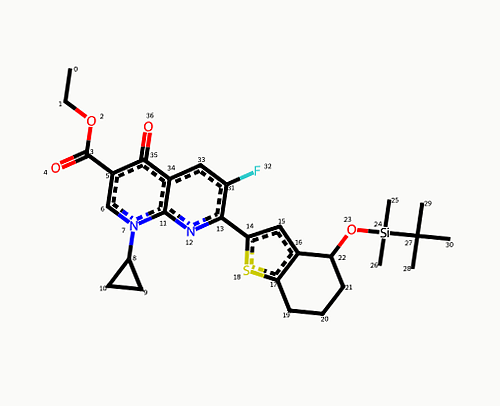 CCOC(=O)c1cn(C2CC2)c2nc(-c3cc4c(s3)CCCC4O[Si](C)(C)C(C)(C)C)c(F)cc2c1=O